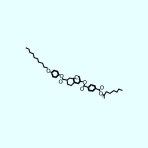 CCCCCCCCCCOc1ccc(OC(=O)C2CCc3cc(OC(=O)c4ccc(C(=O)O[C@H](C)CCCCCC)cc4)ccc3C2)cc1